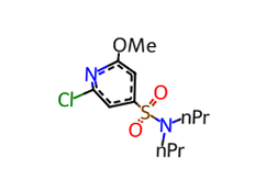 CCCN(CCC)S(=O)(=O)c1cc(Cl)nc(OC)c1